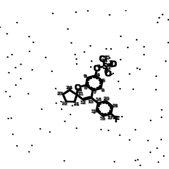 O=S(=O)(Oc1ccc2c(c1)OC1(C=C2c2ccc(F)cc2)CCCC1)C(F)(F)F